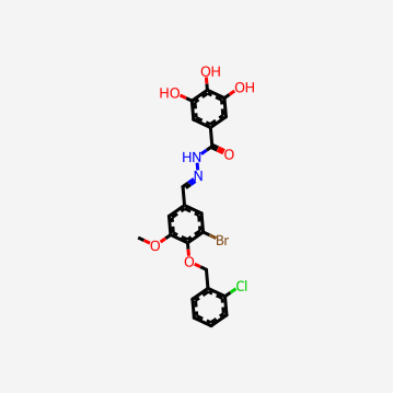 COc1cc(/C=N/NC(=O)c2cc(O)c(O)c(O)c2)cc(Br)c1OCc1ccccc1Cl